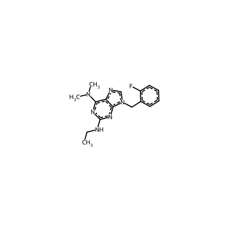 CCNc1nc(N(C)C)c2ncn(Cc3ccccc3F)c2n1